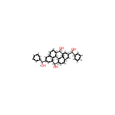 OC(c1ccccc1)c1cc2c3c4c(ccc3c1)C(O)c1cc(C(O)c3ccccc3)cc3ccc(c-4c13)C2O